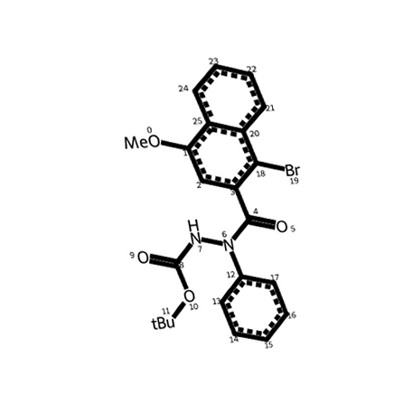 COc1cc(C(=O)N(NC(=O)OC(C)(C)C)c2ccccc2)c(Br)c2ccccc12